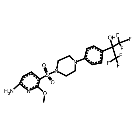 COc1nc(N)ccc1S(=O)(=O)N1CCN(c2ccc(C(O)(C(F)(F)F)C(F)(F)F)cc2)CC1